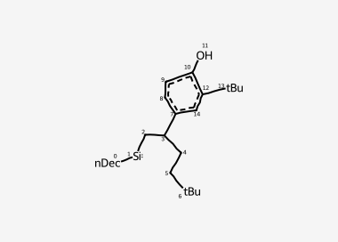 CCCCCCCCCC[Si]CC(CCC(C)(C)C)c1ccc(O)c(C(C)(C)C)c1